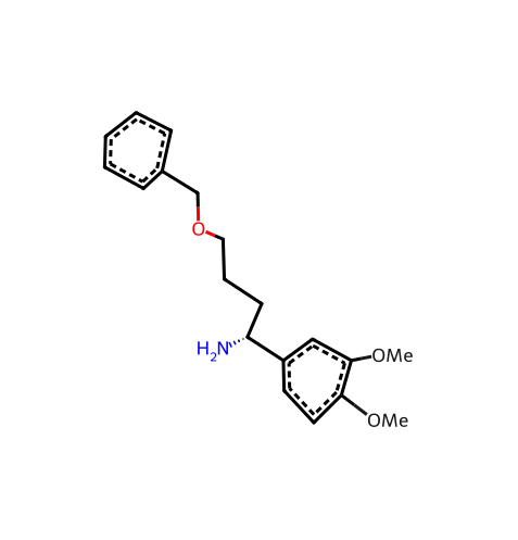 COc1ccc([C@H](N)CCCOCc2ccccc2)cc1OC